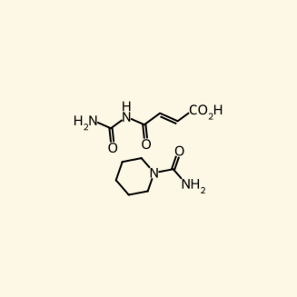 NC(=O)N1CCCCC1.NC(=O)NC(=O)C=CC(=O)O